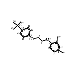 Cc1ccc(OCCOc2ccc(C(C)(C)C)cc2)c(C)c1